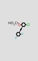 O=C(O)COc1ccc(Cl)cc1C#Cc1ccc(F)cc1F